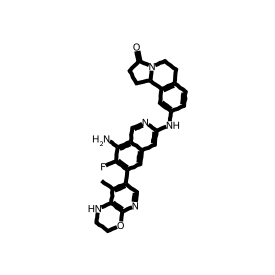 Cc1c(-c2cc3cc(Nc4ccc5c(c4)C4CCC(=O)N4CC5)ncc3c(N)c2F)cnc2c1NCCO2